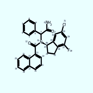 NC(=O)C(c1ccccc1)N(C(=O)c1cccc2ccccc12)[C@@H]1CCc2c(F)cc(Cl)cc21